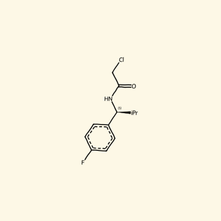 CC(C)[C@H](NC(=O)CCl)c1ccc(F)cc1